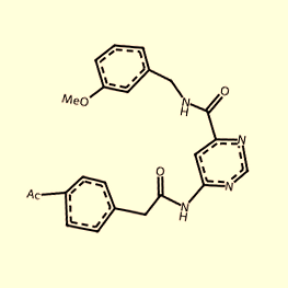 COc1cccc(CNC(=O)c2cc(NC(=O)Cc3ccc(C(C)=O)cc3)ncn2)c1